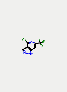 FC(F)(F)c1cc2[nH]ncc2c(Cl)n1